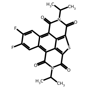 CC(C)N1C(=O)c2sc3c4c(c5cc(F)c(F)cc5c(c24)C1=O)C(=O)N(C(C)C)C3=O